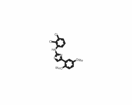 COc1ccc(OC)c(-c2csc(Nc3cccc(Cl)c3Cl)n2)c1